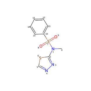 CN(c1nncs1)S(=O)(=O)c1ccccc1